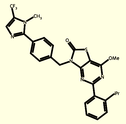 COc1nc(-c2ccccc2C(C)C)nc2c1sc(=O)n2Cc1ccc(-c2ncc(C(F)(F)F)n2C)cc1